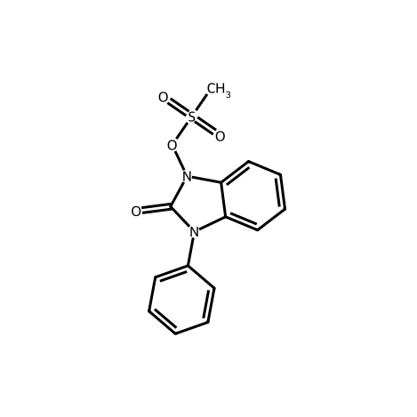 CS(=O)(=O)On1c(=O)n(-c2ccccc2)c2ccccc21